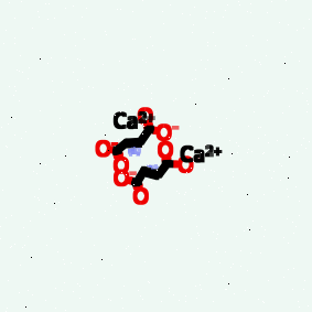 O=C([O-])/C=C/C(=O)[O-].O=C([O-])/C=C/C(=O)[O-].[Ca+2].[Ca+2]